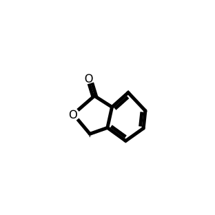 O=C1O[CH]c2ccccc21